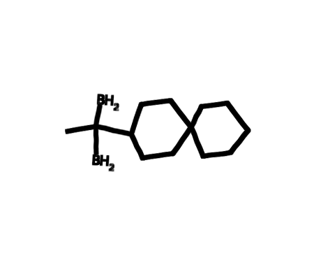 BC(B)(C)C1CCC2(CCCCC2)CC1